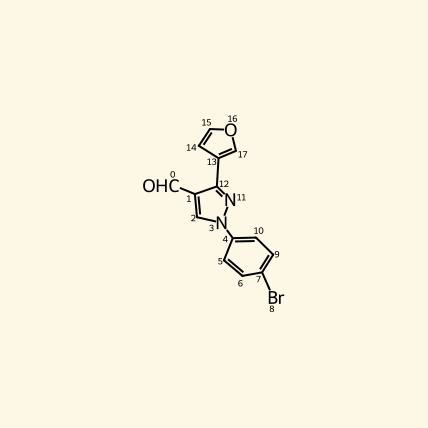 O=Cc1cn(-c2ccc(Br)cc2)nc1-c1ccoc1